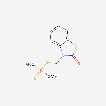 COP(=S)(OC)SCn1c(=O)sc2ccccc21